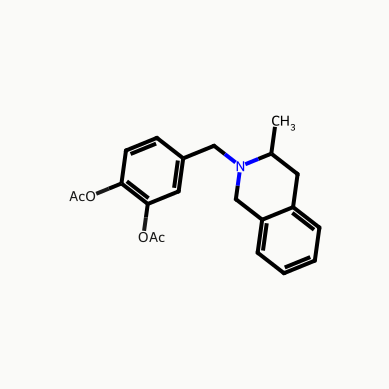 CC(=O)Oc1ccc(CN2Cc3ccccc3CC2C)cc1OC(C)=O